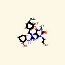 CCn1c(=O)c2c(nc(N[C@@H]3CCCC[C@H]3O)n2Cc2ccc(OC)c(Br)c2)n(CCO)c1=O